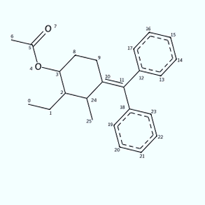 CCC1C(OC(C)=O)CCC(=C(c2ccccc2)c2ccccc2)C1C